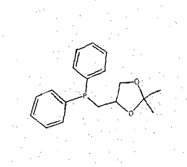 CC1(C)OCC(CP(c2ccccc2)c2ccccc2)O1